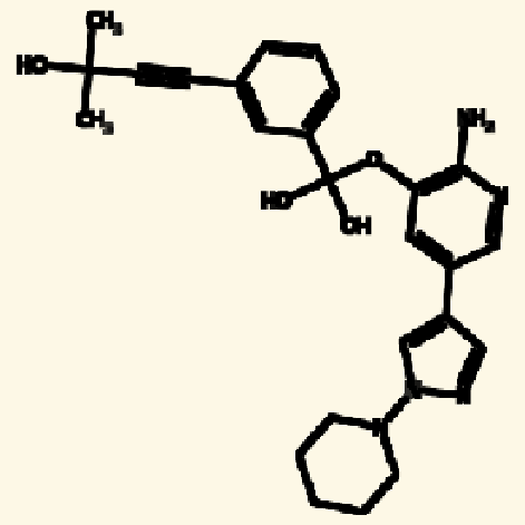 CC(C)(O)C#Cc1cccc(C(O)(O)Oc2cc(-c3cnn(N4CCCCC4)c3)cnc2N)c1